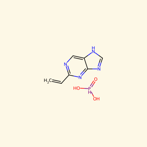 C=Cc1ncc2[nH]cnc2n1.O=[PH](O)O